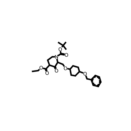 CCOC(=O)C1CCN(C(=O)OC(C)(C)C)C(COC2CCC(OCc3ccccc3)CC2)C1=O